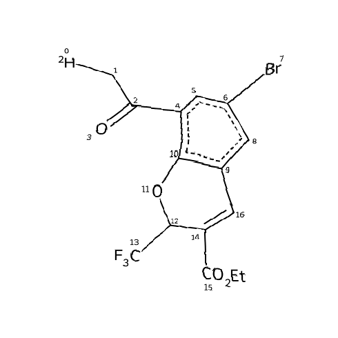 [2H]CC(=O)c1cc(Br)cc2c1OC(C(F)(F)F)C(C(=O)OCC)=C2